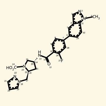 Cn1ncc2cc(-c3ccc(C(=O)N[C@@H]4C[C@@H](Cn5cccn5)N(C(=O)O)C4)c(F)c3)ccc21